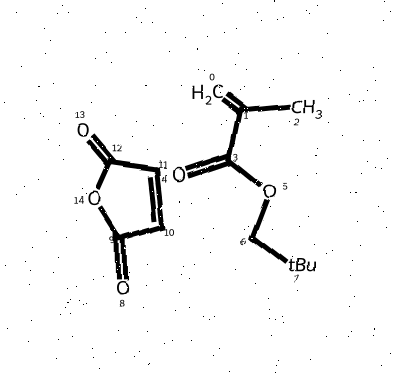 C=C(C)C(=O)OCC(C)(C)C.O=C1C=CC(=O)O1